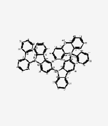 c1ccc(-c2ccccc2-n2c3ccccc3c3cc(-n4c5ccccc5c5ccc([Si]6(c7ccccc7)c7ccccc7Oc7ccccc76)cc54)ccc32)cc1